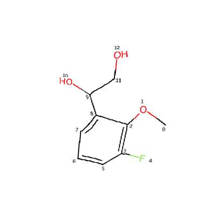 COc1c(F)cccc1C(O)CO